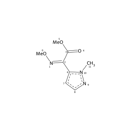 CON=C(C(=O)OC)c1ccnn1C